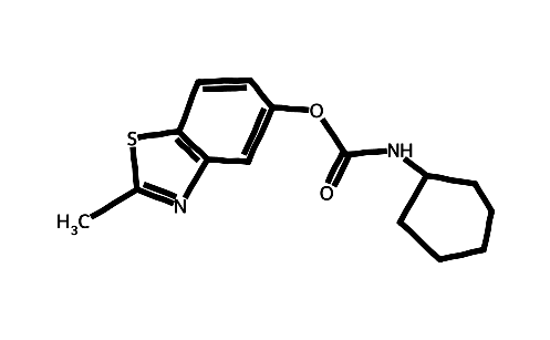 Cc1nc2cc(OC(=O)NC3CCCCC3)ccc2s1